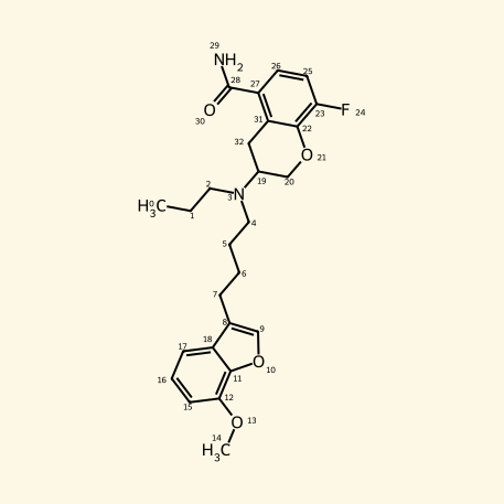 CCCN(CCCCc1coc2c(OC)cccc12)C1COc2c(F)ccc(C(N)=O)c2C1